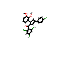 COc1cccc(C2CC(c3ccc(Cl)cc3)=CC2C(=O)c2c(F)cc(F)cc2F)c1OC